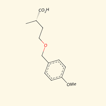 COc1ccc(COCC[C@H](C)C(=O)O)cc1